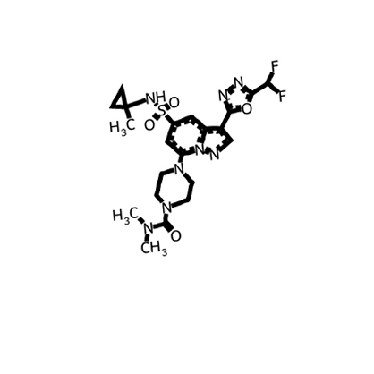 CN(C)C(=O)N1CCN(c2cc(S(=O)(=O)NC3(C)CC3)cc3c(-c4nnc(C(F)F)o4)cnn23)CC1